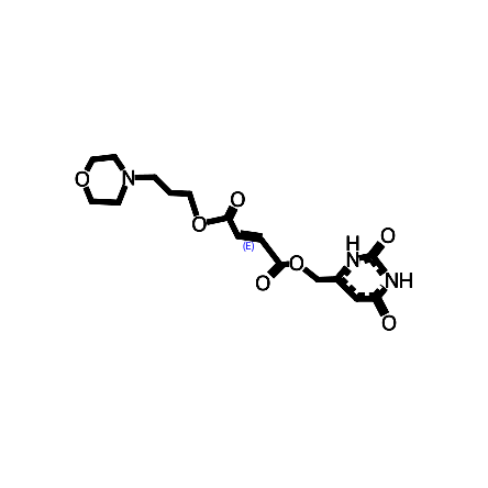 O=C(/C=C/C(=O)OCc1cc(=O)[nH]c(=O)[nH]1)OCCCN1CCOCC1